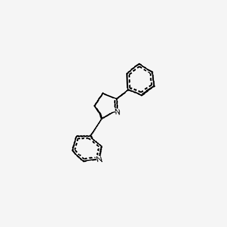 c1ccc(C2=NC(c3cccnc3)CC2)cc1